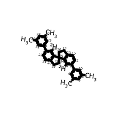 [2H]c1c(-c2cc(C)cc(C)c2)ccc2c1C1(CC2)CCc2ccc(-c3cc(C)cc(C)c3)c([2H])c21